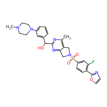 Cc1nc(C(O)c2cccc(N3CCN(C)CC3)c2)nc2c1CN(S(=O)(=O)c1ccc(-c3ncco3)c(F)c1)C2